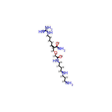 N=C(N)NCCCCC=C(COCC(=O)NCCCCNCCCN)C(N)=O